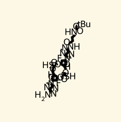 CC(C)(C)OC(=O)NCCCC(=O)Nc1ncnc2c1ncn2[C@@H]1O[C@@H]2CO[P@@](=O)(S)OC3[C@@H](F)[C@H](n4cnc5c(N)ncnc54)O[C@@H]3CO[P@](=O)(S)OC2[C@H]1F